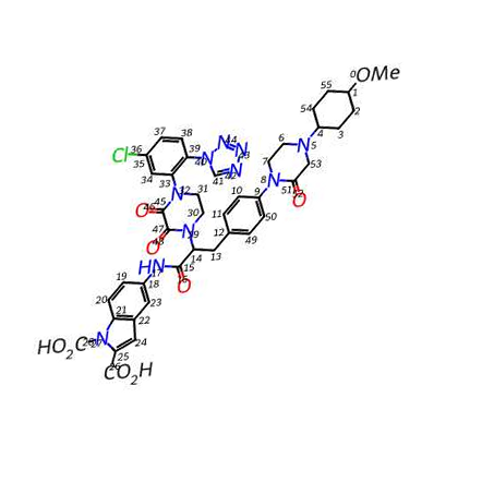 COC1CCC(N2CCN(c3ccc(CC(C(=O)Nc4ccc5c(c4)cc(C(=O)O)n5C(=O)O)N4CCN(c5cc(Cl)ccc5-n5cnnn5)C(=O)C4=O)cc3)C(=O)C2)CC1